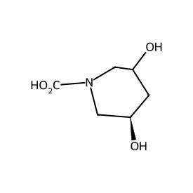 O=C(O)N1CC(O)C[C@@H](O)C1